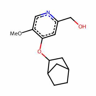 COc1cnc(CO)cc1OC1CC2CCC1C2